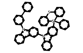 c1ccc(-c2cccc(-n3c4ccccc4c4cc(-n5c6ccccc6c6ccc([Si]7(c8ccccc8)c8ccccc8Sc8ccccc87)cc65)ccc43)c2)cc1